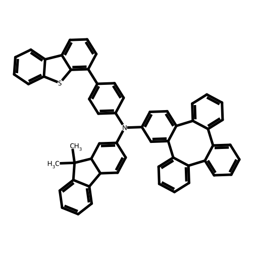 CC1(C)c2ccccc2C2C=CC(N(c3ccc(-c4cccc5c4sc4ccccc45)cc3)c3ccc4c(c3)-c3ccccc3-c3ccccc3-c3ccccc3-4)=CC21